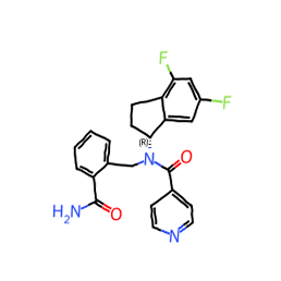 NC(=O)c1ccccc1CN(C(=O)c1ccncc1)[C@@H]1CCc2c(F)cc(F)cc21